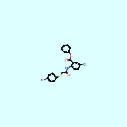 O=C(CSc1ccc(Br)cc1)Nc1ccc(Cl)cc1C(=O)Oc1ccccc1